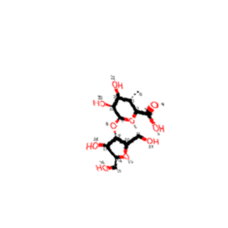 C[C@@H]1C(C(=O)O)O[C@@H](O[C@@H]2C(CO)O[C@@H](CO)C2O)[C@@H](O)C1O